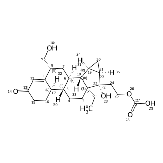 CC[C@]12CC[C@H]3[C@@H](C[C@@H](CO)C4=CC(=O)CC[C@@H]43)[C@@H]1[C@H]1C[C@H]1[C@@]2(O)CCOC(=O)O